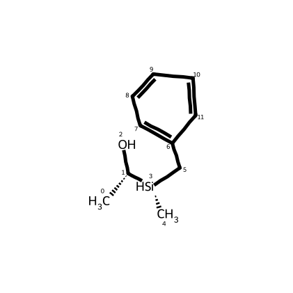 C[C@H](O)[Si@@H](C)Cc1ccccc1